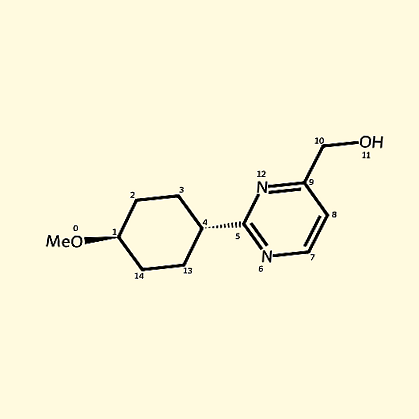 CO[C@H]1CC[C@H](c2nccc(CO)n2)CC1